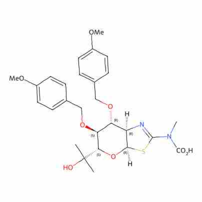 COc1ccc(CO[C@@H]2[C@H]3N=C(N(C)C(=O)O)S[C@H]3O[C@H](C(C)(C)O)[C@H]2OCc2ccc(OC)cc2)cc1